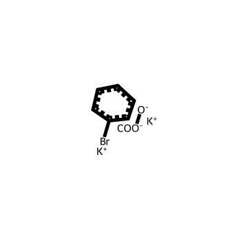 Brc1ccccc1.O=C([O-])[O-].[K+].[K+]